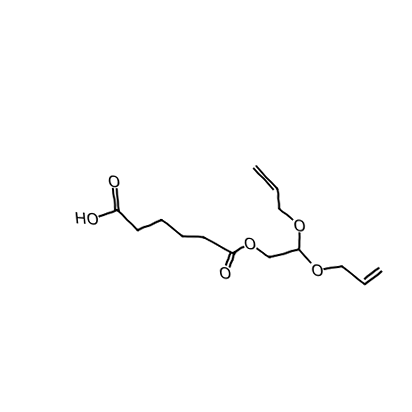 C=CCOC(COC(=O)CCCCC(=O)O)OCC=C